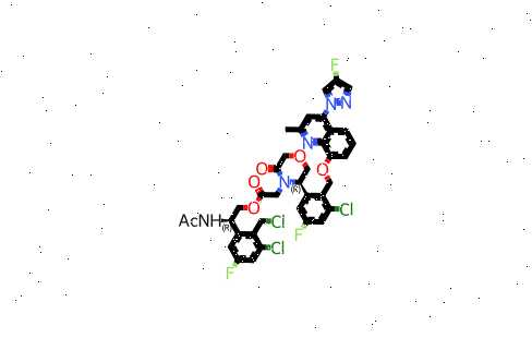 CC(=O)N[C@@H](COC(=O)CN1C(=O)COC[C@H]1c1cc(F)cc(Cl)c1COc1cccc2c(-n3cc(F)cn3)cc(C)nc12)c1cc(F)cc(Cl)c1CCl